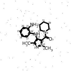 Cc1nn(C)c(C(=O)N2CCCCC2)c1Nc1ccccc1N